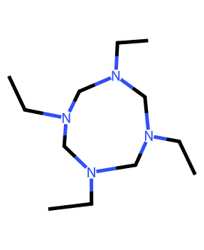 CCN1CN(CC)CN(CC)CN(CC)C1